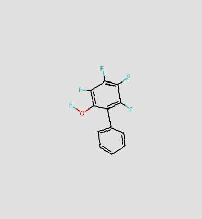 FOc1c(F)c(F)c(F)c(F)c1-c1ccccc1